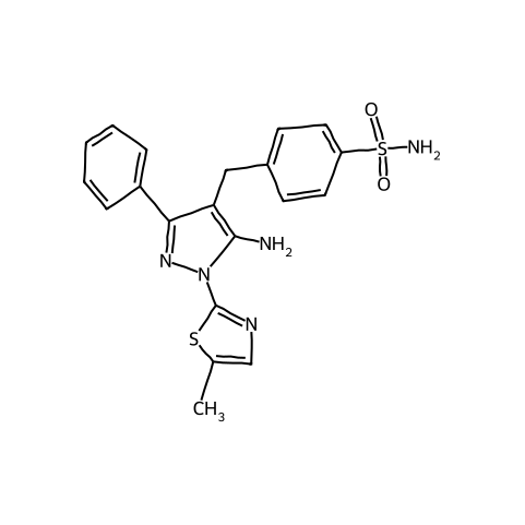 Cc1cnc(-n2nc(-c3ccccc3)c(Cc3ccc(S(N)(=O)=O)cc3)c2N)s1